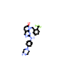 O=c1ccc2cnc(Nc3ccc(N4CCNCC4)cc3)nc2n1Cc1ccccc1C(F)(F)F